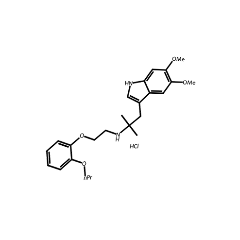 CCCOc1ccccc1OCCNC(C)(C)Cc1c[nH]c2cc(OC)c(OC)cc12.Cl